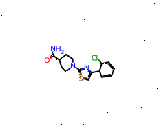 NC(=O)C1CCN(c2nc(C3C=CC=CC3Cl)cs2)CC1